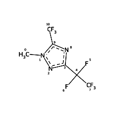 Cn1nc(C(F)(F)C(F)(F)F)nc1C(F)(F)F